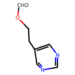 O=COCCc1cncnc1